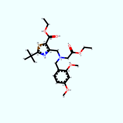 CCOC(=O)CN(Cc1ccc(OC)cc1OC)Cc1nc(C(C)(C)C)sc1C(=O)OCC